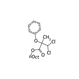 CCCCCCCCOC(=O)C(C)(Oc1ccccc1)C(Cl)Cl